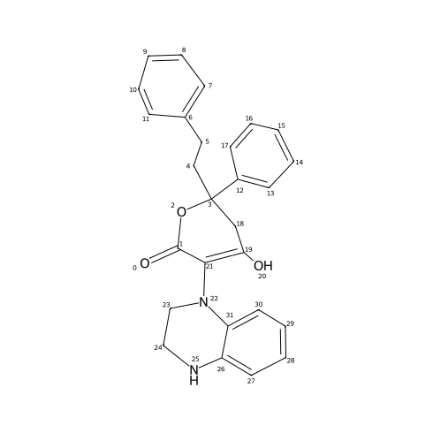 O=C1OC(CCc2ccccc2)(c2ccccc2)CC(O)=C1N1CCNc2ccccc21